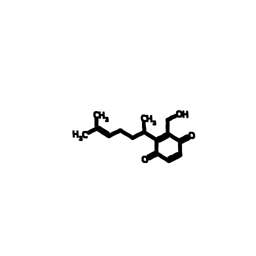 CC(C)=CCCC(C)C1=C(CO)C(=O)C=CC1=O